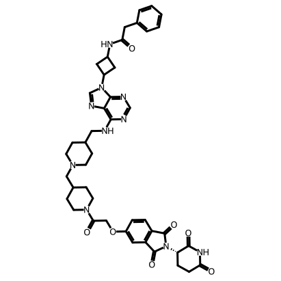 O=C1CC[C@H](N2C(=O)c3ccc(OCC(=O)N4CCC(CN5CCC(CNc6ncnc7c6ncn7C6CC(NC(=O)Cc7ccccc7)C6)CC5)CC4)cc3C2=O)C(=O)N1